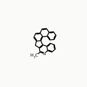 Cc1nc2ccccc2c2c1Cc1ccc3ccc4ccccc4c3c1-2